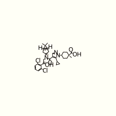 CC1(C)[C@@H]2C[C@H](N(C[C@@H](O)c3c(Cl)cccc3Cl)C(=O)c3cnn([C@H]4CC[C@](C)(C(=O)O)CC4)c3C3CC3)C[C@@H]21